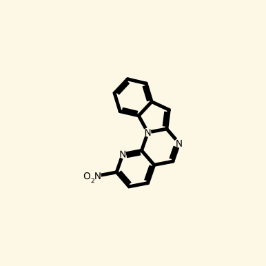 O=[N+]([O-])c1ccc2cnc3cc4ccccc4n3c2n1